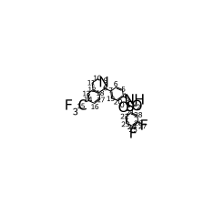 O=S(=O)(Nc1ccc(C2=NCCc3cc(C(F)(F)F)ccc32)cc1)c1ccc(F)c(F)c1